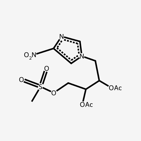 CC(=O)OC(COS(C)(=O)=O)C(Cn1cnc([N+](=O)[O-])c1)OC(C)=O